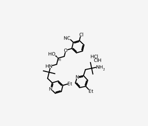 CCc1ccnc(CC(C)(C)N)c1.CCc1ccnc(CC(C)(C)NC[C@@H](O)COc2cccc(Cl)c2C#N)c1.Cl.Cl